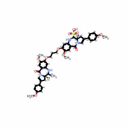 COc1ccc(C2=CN3C(=O)c4cc(OC)c(OCCCOc5cc6c(cc5OC)C(=O)N5C=C(c7ccc(OC)cc7)C[C@H]5C(S(=O)(=O)O)N6)cc4NC(C)[C@@H]3C2)cc1